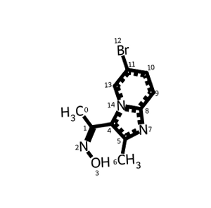 C/C(=N/O)c1c(C)nc2ccc(Br)cn12